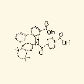 CC1(C)CCC(C)(C)c2cc(NC(=O)c3ccc(C(=O)O)cc3)ccc21.O=C(O)c1ccc(-c2ccccc2)cc1